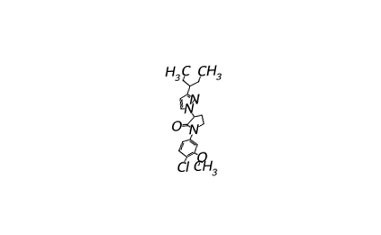 CCC(CC)c1ccn(C2CCN(c3ccc(Cl)c(OC)c3)C2=O)n1